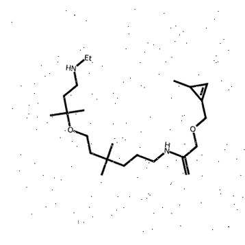 C=C(COCC1=CC1C)NCCCC(C)(C)CCOC(C)(C)CCNCC